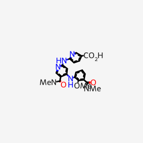 CNC(=O)c1cnc(Nc2ccc(C(=O)O)cn2)cc1Nc1cccc(C(=O)NC)c1OC